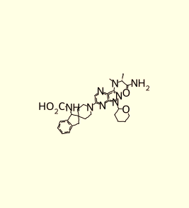 C[C@@H](C(N)=O)N(C)c1nn(C2CCCCO2)c2nc(N3CCC4(CC3)Cc3ccccc3[C@H]4NC(=O)O)cnc12